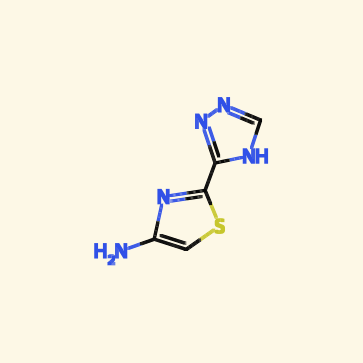 Nc1csc(-c2nnc[nH]2)n1